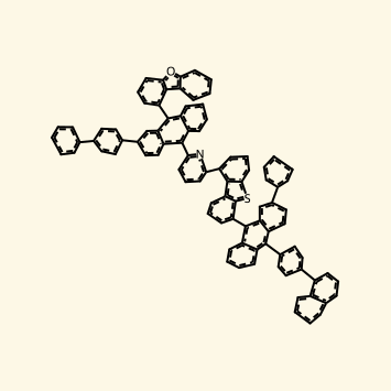 c1ccc(-c2ccc(-c3ccc4c(-c5cccc(-c6cccc7sc8c(-c9c%10ccccc%10c(-c%10ccc(-c%11cccc%12ccccc%11%12)cc%10)c%10ccc(-c%11ccccc%11)cc9%10)cccc8c67)n5)c5ccccc5c(-c5cccc6oc7ccccc7c56)c4c3)cc2)cc1